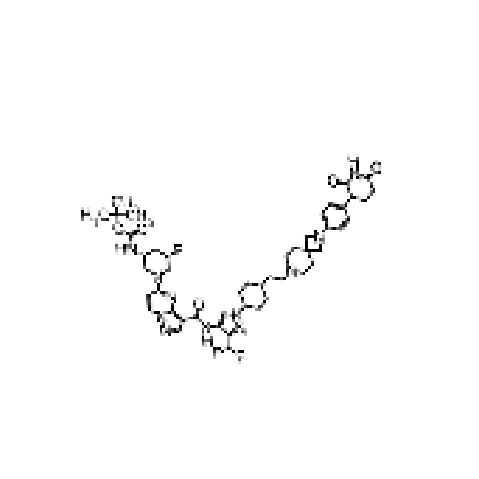 CC(C)(C)OC(=O)N[C@@H]1C[C@@H](F)CN(c2ccn3ncc(C(=O)Nc4cn(C5CCC(CCN6CCC7(CC6)CN(c6ccc(C8CCC(=O)NC8=O)cc6)C7)CC5)nc4C(F)F)c3n2)C1